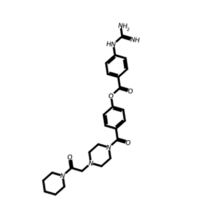 N=C(N)Nc1ccc(C(=O)Oc2ccc(C(=O)N3CCN(CC(=O)N4CCCCC4)CC3)cc2)cc1